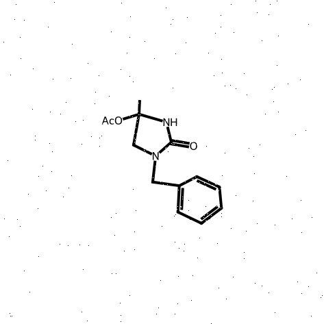 CC(=O)OC1(C)CN(Cc2ccccc2)C(=O)N1